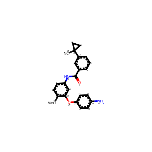 COc1ccc(NC(=O)c2cccc(C3(C#N)CC3)c2)cc1Oc1ccc(N)cc1